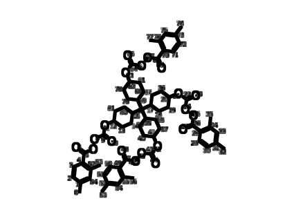 Cc1ccc(C(=O)OOC(=O)OC2CCC(C(C3CCC(OC(=O)OOC(=O)c4ccc(C)cc4C)CC3)(C3CCC(OC(=O)OOC(=O)c4ccc(C)cc4C)CC3)C3CCC(OC(=O)OOC(=O)c4ccc(C)cc4C)CC3)CC2)c(C)c1